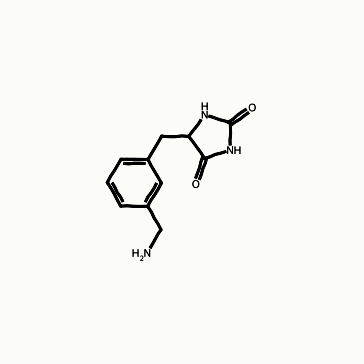 NCc1cccc(CC2NC(=O)NC2=O)c1